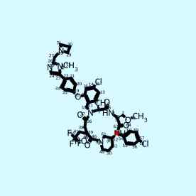 COC[C@@H]1NC(=O)[C@H](C)N(Cc2ccc(Cl)cc2Oc2ccc(-c3cnc(CN4CCC4)n3C)cc2)C(=O)C[C@](O)(CC(F)(F)F)C(=O)N2CCC[C@@](Cc3ccc(Cl)cc3)(C2)NC1=O